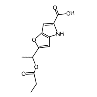 CCC(=O)OC(C)c1cc2[nH]c(C(=O)O)cc2o1